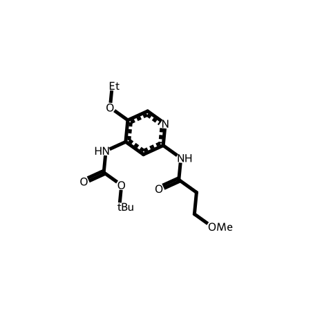 CCOc1cnc(NC(=O)CCOC)cc1NC(=O)OC(C)(C)C